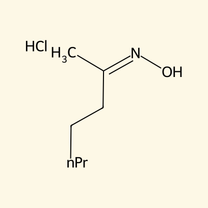 CCCCC/C(C)=N\O.Cl